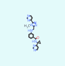 Cn1c(CNc2cccc(C(=O)NC3(c4ccncn4)CC3)c2)nnc1-c1ccncn1